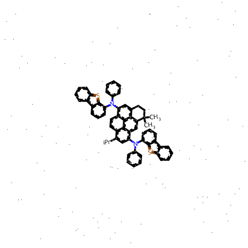 CC(C)c1cc(N(c2ccccc2)c2cccc3c2sc2ccccc23)c2cc3c4c(cc(N(c5ccccc5)c5cccc6c5sc5ccccc56)c5ccc1c2c54)CCC3(C)C